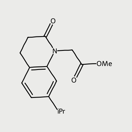 COC(=O)CN1C(=O)CCc2ccc(C(C)C)cc21